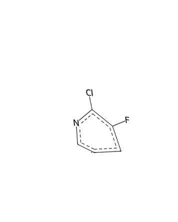 Fc1c[c]cnc1Cl